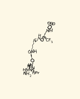 CCCSc1nc(NCCN)c2nnn(Cc3ccc(C#CC(=O)NCCCCCN4CCC(Nc5cccc6c5cc(C#CCNc5ccc(S(C)(=O)=O)cc5)n6CC(F)(F)F)CC4)cc3)c2n1